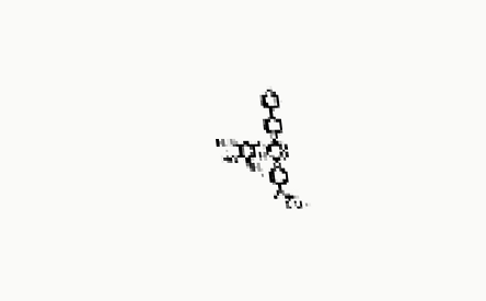 Bc1cc(C[C@@H](NC(=O)N2CCC(N(C)C(=O)NC)CC2)C(=O)N2CCC(c3ccncc3)CC2)cc(B)c1O